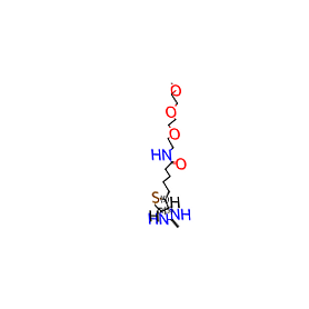 C=C1N[C@H]2[C@H](CS[C@H]2CCCCC(=O)NCCOCCOCCOC)N1